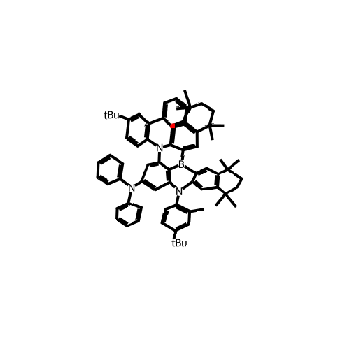 Cc1cc(C(C)(C)C)ccc1N1c2cc3c(cc2B2c4cc5c(cc4N(c4ccc(C(C)(C)C)cc4-c4ccccc4)c4cc(N(c6ccccc6)c6ccccc6)cc1c42)C(C)(C)CCC5(C)C)C(C)(C)CCC3(C)C